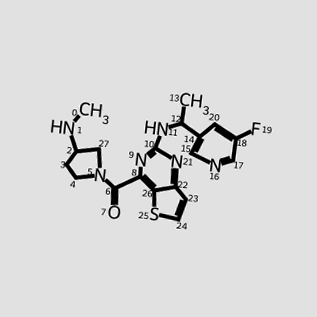 CNC1CCN(C(=O)c2nc(NC(C)c3cncc(F)c3)nc3ccsc23)C1